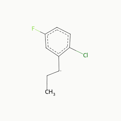 CC[CH]c1cc(F)ccc1Cl